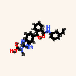 C=Cc1cccc(NC(=O)c2ccccc2C(=O)c2ccc3nc(N(C)C(=O)O)[nH]c3c2)c1